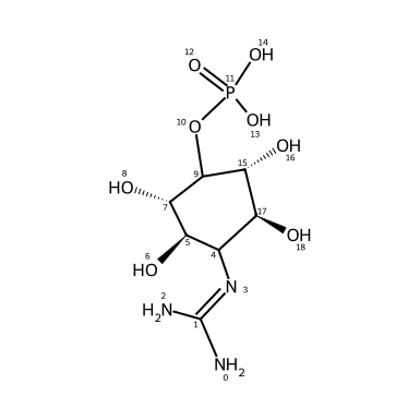 NC(N)=NC1[C@@H](O)[C@H](O)C(OP(=O)(O)O)[C@H](O)[C@H]1O